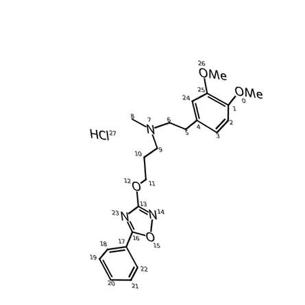 COc1ccc(CCN(C)CCCOc2noc(-c3ccccc3)n2)cc1OC.Cl